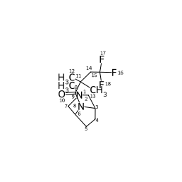 CN1CC2CCC(C1)N2C(=O)C(C)(C)CC(F)(F)F